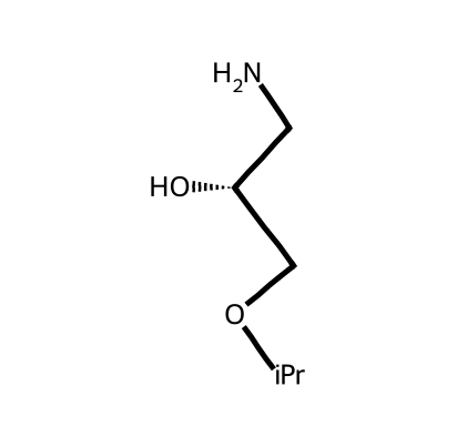 CC(C)OC[C@H](O)CN